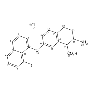 Cc1cccc2cccc(Oc3ccc4c(c3)C(C(=O)O)C(N)CC4)c12.Cl